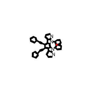 C(#Cc1c(C#Cc2ccccc2)c2c3cccnc3n(-c3ccccc3)c2c2c1c1cccnc1n2-c1ccccc1)c1ccccc1